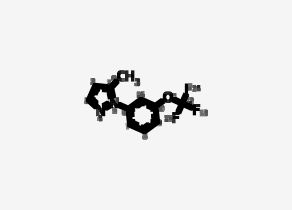 Cc1ccnn1-c1cccc(OC(F)(F)F)c1